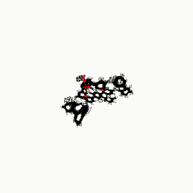 Cc1ccc2c(c1)c1ccccc1n2-c1ccc(-c2c(C#N)c(-c3cccc(C)n3)c(-c3ccc(-n4c5ccccc5c5cc(C)ccc54)cc3)c(-n3c4ccc(C(C)(C)C)cc4c4cc(C(C)(C)C)ccc43)c2-n2c3ccc(C(C)(C)C)cc3c3cc(C(C)(C)C)ccc32)cc1